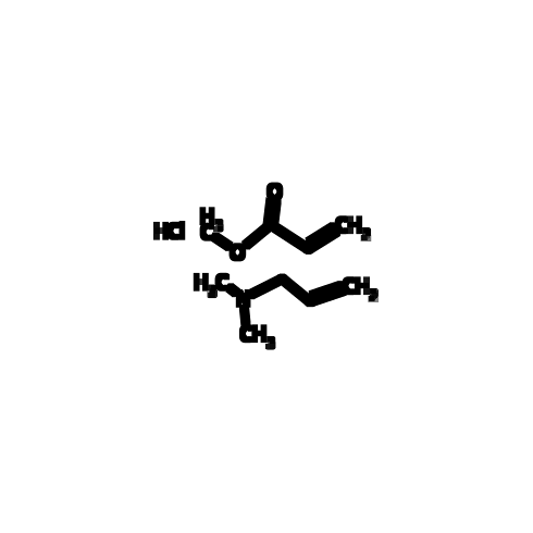 C=CC(=O)OC.C=CCN(C)C.Cl